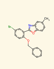 Cc1ccc2oc(-c3cc(Br)ccc3OCc3ccccc3)nc2c1